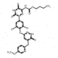 CCCCOC(=O)Nc1nn(-c2cc(Cl)c(Oc3cc(Cc4ccc(OC)cn4)c(=O)[nH]n3)c(Cl)c2)c(=O)[nH]c1=O